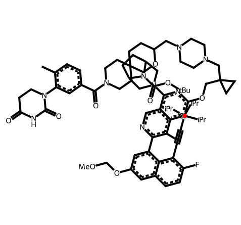 COCOc1cc(-c2ncc3c(N4CC5CCC(C4)N5C(=O)OC(C)(C)C)nc(OCC4(CN5CCN(CC6CCC7(CCN(C(=O)c8ccc(C)c(N9CCC(=O)NC9=O)c8)CC7)CO6)CC5)CC4)nc3c2F)c2c(C#C[Si](C(C)C)(C(C)C)C(C)C)c(F)ccc2c1